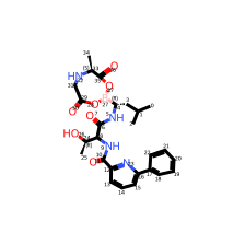 CC(C)C[C@H](NC(=O)C(NC(=O)c1cccc(-c2ccccc2)n1)[C@@H](C)O)B1OC(=O)CN[C@@H](C)C(=O)O1